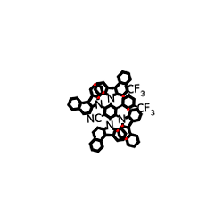 N#Cc1c(-n2c3ccccc3c3c4ccccc4ccc32)c(-n2c3ccccc3c3c4ccccc4ccc32)c(-c2cc(C(F)(F)F)cc(C(F)(F)F)c2)c(-n2c3ccccc3c3c4ccccc4ccc32)c1-n1c2ccccc2c2c3ccccc3ccc21